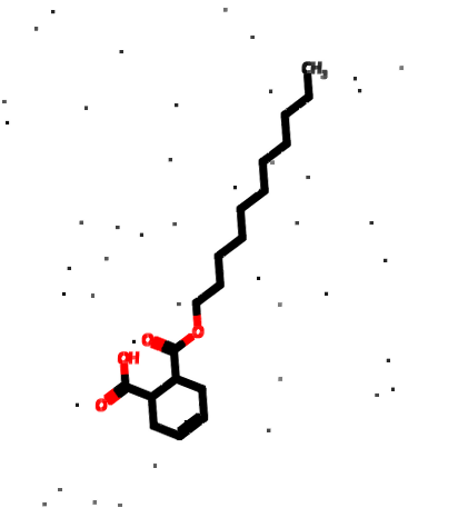 CCCCCCCCCCCOC(=O)C1CC=CCC1C(=O)O